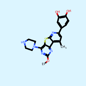 CCOc1nc(N2CCNCC2)c2sc3nc(-c4ccc(O)c(O)c4)cc(C)c3c2n1